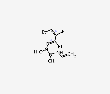 C=CNN(C)N(C)/N=C(CC)/C(F)=C\CC